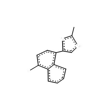 Cc1nc(-c2ccc(F)c3ccccc23)c[nH]1